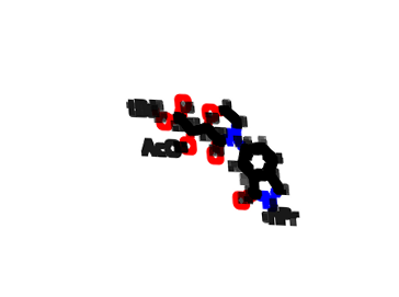 CCCN1Cc2ccc(N3CCO[C@H]([C@@H](OOC(C)=O)C(=O)OC(C)(C)C)C3=O)cc2C1=O